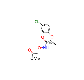 COC(=O)CONC(=O)[C@H](C)Oc1ccc(Cl)cc1